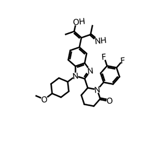 COC1CCC(n2c(C3CCCC(=O)N3c3ccc(F)c(F)c3)nc3cc(/C(C(C)=N)=C(\C)O)ccc32)CC1